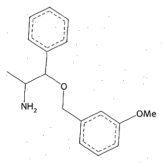 COc1cccc(COC(c2ccccc2)C(C)N)c1